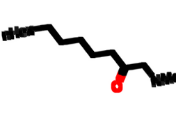 CCCCCCCCCCCC(=O)CNC